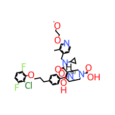 COCCOc1nccc(CN(C(=O)C2=C(c3ccc(CCCOc4c(F)ccc(F)c4Cl)cc3)CC3CN(C(=O)O)C[C@H]2N3C(=O)O)C2CC2)c1C